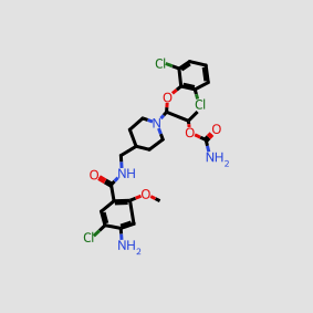 COc1cc(N)c(Cl)cc1C(=O)NCC1CCN(C(Oc2c(Cl)cccc2Cl)C(C)OC(N)=O)CC1